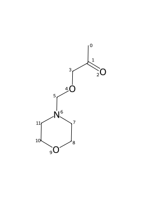 CC(=O)COCN1CCOCC1